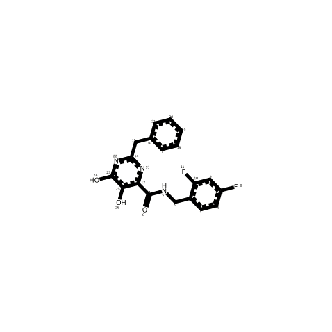 O=C(NCc1ccc(F)cc1F)c1nc(Cc2ccccc2)nc(O)c1O